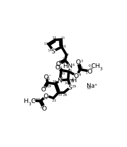 COC(=O)O[C@]1(NC(=O)Cc2cccs2)C(=O)N2C(C(=O)[O-])=C(COC(C)=O)CS[C@@H]21.[Na+]